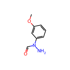 COc1cccc(N(N)C=O)c1